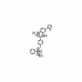 CCOP(=O)(OCc1ccc(C(=O)Nc2cc(-c3cccs3)ccc2N)cc1)c1ccccc1